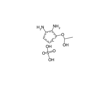 CC(O)Oc1cccc(N)c1N.O=S(=O)(O)O